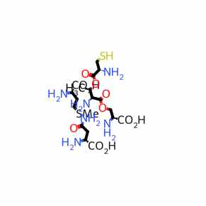 CSCC[C@H](N)C(=O)O.C[C@@H](OC(=O)[C@@H](N)CS)[C@H](N)C(=O)OC[C@H](N)C(=O)O.NC(=O)C[C@H](N)C(=O)O